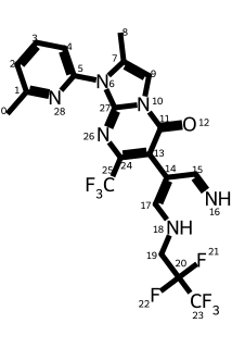 Cc1cccc(-n2c(C)cn3c(=O)c(/C(C=N)=C/NCC(F)(F)C(F)(F)F)c(C(F)(F)F)nc23)n1